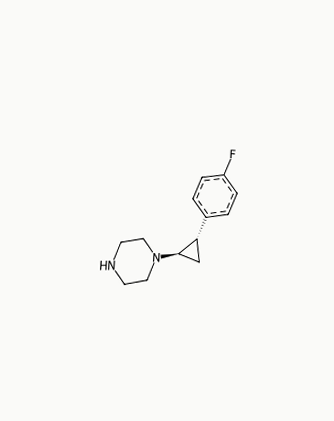 Fc1ccc([C@@H]2C[C@H]2N2CCNCC2)cc1